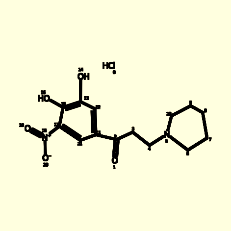 Cl.O=C(CCN1CCCCC1)c1cc(O)c(O)c([N+](=O)[O-])c1